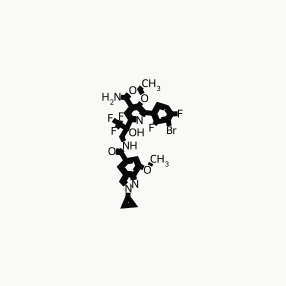 CCOc1c(C(N)=O)cc([C@](O)(CNC(=O)c2cc(OC)c3nn(C4CC4)cc3c2)C(F)(F)F)nc1-c1ccc(F)c(Br)c1F